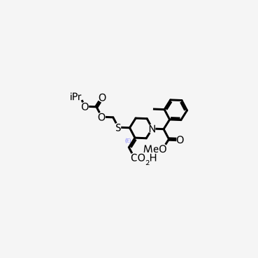 COC(=O)C(c1ccccc1C)N1CCC(SCOC(=O)OC(C)C)/C(=C/C(=O)O)C1